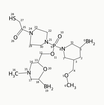 BC1CC(COC)CN(P(=O)(OCC2CN(C)CC(B)O2)N2CCN(C(=O)CS)CC2)C1